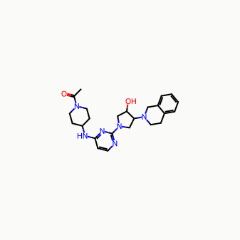 CC(=O)N1CCC(Nc2ccnc(N3CC(O)C(N4CCc5ccccc5C4)C3)n2)CC1